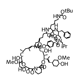 COc1ccc(S(=O)(=O)N(CC(C)C)C[C@@H](O)[C@H](Cc2ccccc2)NC(=O)C(CCCCNC(=O)OC(C)(C)C)NC(=O)CC/C=C/C[C@@H]2/C=C(\C)C[C@H](C)C[C@H](O)[C@H]3O[C@@](O)(C(=O)C(=O)N4CCCC[C@H]4C(=O)O[C@H](/C(C)=C/[C@@H]4CC[C@@H](O)[C@H](OC)C4)[C@H](C)[C@@H](O)CC2=O)[C@H](C)C[C@@H]3OC)cc1